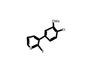 CCc1[c]cc(-c2cccnc2F)cc1OC